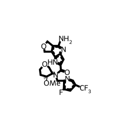 CO[C@@H]1CCOC[C@H]1N(Cc1ncc(C(F)(F)F)cc1F)C(=O)c1cc2nc(N)c3c(c2[nH]1)COC3